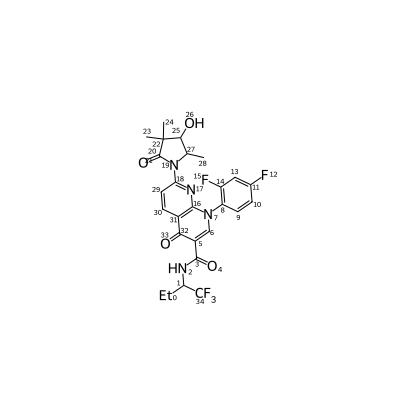 CCC(NC(=O)c1cn(-c2ccc(F)cc2F)c2nc(N3C(=O)C(C)(C)C(O)C3C)ccc2c1=O)C(F)(F)F